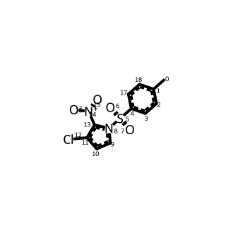 Cc1ccc(S(=O)(=O)n2ccc(Cl)c2[N+](=O)[O-])cc1